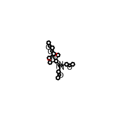 c1ccc(-c2cc(-c3nc(-c4ccc5c(c4)oc4ccccc45)nc(-c4ccc5c(c4)oc4ccccc45)n3)cc(-c3ccccc3)c2-n2c3ccccc3c3c4oc5c(ccc6c7ccccc7oc65)c4ccc32)cc1